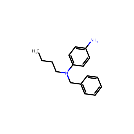 CCCCN(Cc1ccccc1)c1ccc(N)cc1